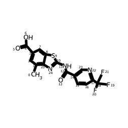 Cc1cc(C(=O)O)cc2sc(NC(=O)c3ccc(C(F)(F)F)nc3)nc12